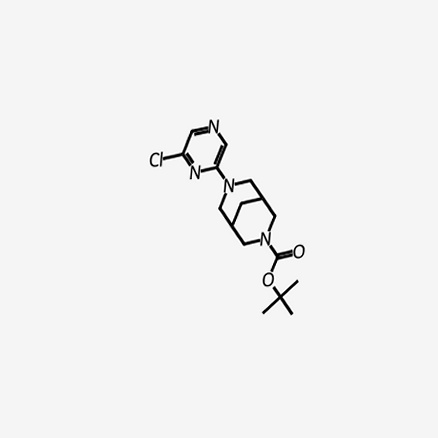 CC(C)(C)OC(=O)N1CC2CC(C1)CN(c1cncc(Cl)n1)C2